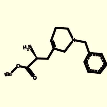 CC(C)(C)OC(=O)[C@@H](N)CC1=CCCN(Cc2ccccc2)C1